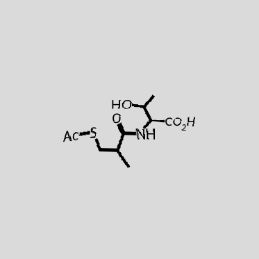 CC(=O)SCC(C)C(=O)N[C@H](C(=O)O)C(C)O